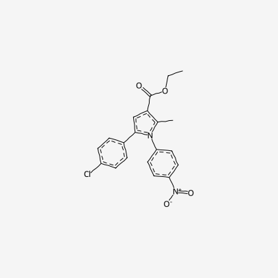 CCOC(=O)c1cc(-c2ccc(Cl)cc2)n(-c2ccc([N+](=O)[O-])cc2)c1C